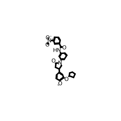 COc1ccc(C2CC(=O)N(c3cccc(NC(=O)c4cccc([N+](=O)[O-])c4)c3)C2)cc1OC1CCCC1